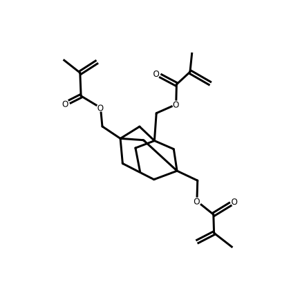 C=C(C)C(=O)OCC12CC3CC(COC(=O)C(=C)C)(C1)CC(COC(=O)C(=C)C)(C3)C2